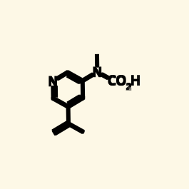 C=C(C)c1cncc(N(C)C(=O)O)c1